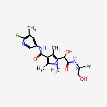 Cc1cc(NC(=O)c2c(C)c(C(O)C(=O)N[C@H](CO)C(C)C)n(C)c2C)cnc1F